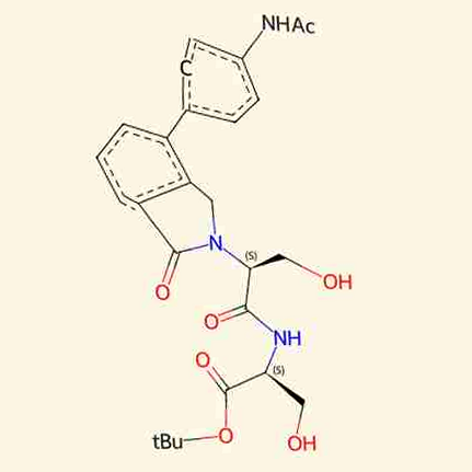 CC(=O)Nc1ccc(-c2cccc3c2CN([C@@H](CO)C(=O)N[C@@H](CO)C(=O)OC(C)(C)C)C3=O)cc1